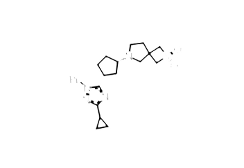 CC(C)n1nc(C2CC2)nc1[C@@H]1CC[C@@H](N2CCC3(C2)CS(=O)(=O)C3)C1